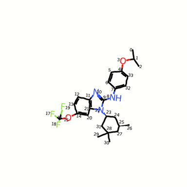 CC(C)Oc1ccc(Nc2nc3ccc(OC(F)(F)F)cc3n2[C@H]2C[C@@H](C)CC(C)(C)C2)cc1